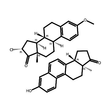 COc1ccc2c(c1)CC[C@@H]1[C@@H]2CC[C@]2(C)C(=O)[C@H](Cl)C[C@@H]12.C[C@]12CCc3c(ccc4cc(O)ccc34)[C@@H]1CCC2=O